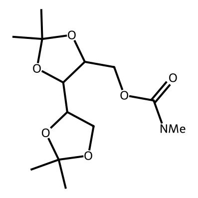 CNC(=O)OCC1OC(C)(C)OC1C1COC(C)(C)O1